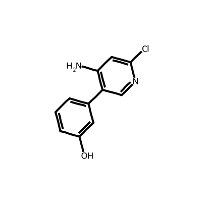 Nc1cc(Cl)ncc1-c1cccc(O)c1